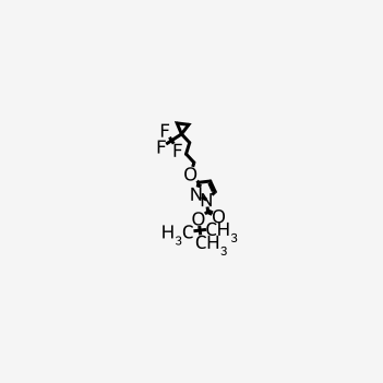 CC(C)(C)OC(=O)n1ccc(OCCCC2(C(F)(F)F)CC2)n1